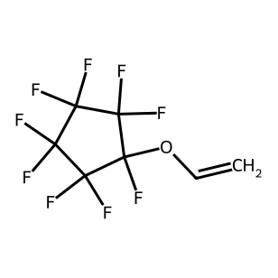 C=COC1(F)C(F)(F)C(F)(F)C(F)(F)C1(F)F